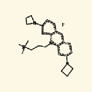 C[Si](C)(C)CCC[n+]1c2cc(N3CCC3)ccc2cc2ccc(N3CCC3)cc21.[I-]